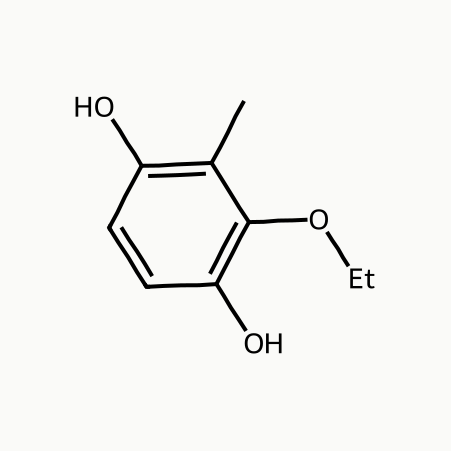 CCOc1c(O)ccc(O)c1C